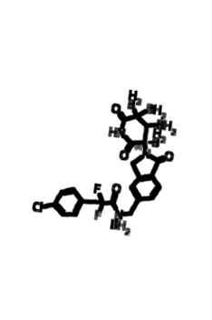 BC1C(B)(B)C(=O)NC(=O)[C@]1(B)N1Cc2cc(CN(B)C(=O)C(F)(F)c3ccc(Cl)cc3)ccc2C1=O